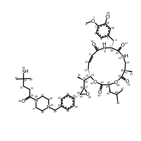 COc1ccc(C[C@H]2NC(=O)C=CC[C@@H]([C@H](C)[C@H]3O[C@@H]3c3ccc(CN4CCN(C(=O)CCC(C)(C)S)CC4)cc3)OC(=O)[C@H](CC(C)C)OC(=O)[C@H](C)CNC2=O)cc1Cl